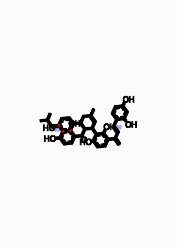 C=C(/C=C/c1ccc(O)cc1O)c1ccc(O)c(C2C=C(C)CC(c3ccc(O)cc3)C2C(=O)c2ccc(O)c(/C=C/C(C)C)c2O)c1O